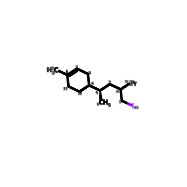 CC1=CCC([C@H](C)CC(CI)C(C)C)CC1